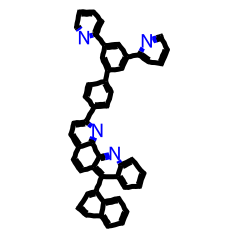 c1ccc(-c2cc(-c3ccc(-c4ccc5ccc6c(-c7cccc8ccccc78)c7ccccc7nc6c5n4)cc3)cc(-c3ccccn3)c2)nc1